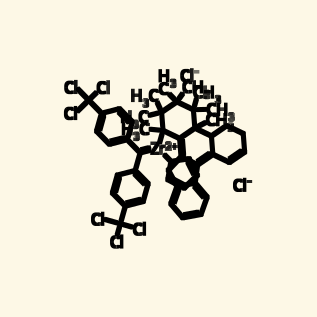 CC12C(=C3Cc4ccccc4C3=C3C=CCCC31)[C](C)([Zr+2](=[C](c1ccc(C(Cl)(Cl)Cl)cc1)c1ccc(C(Cl)(Cl)Cl)cc1)[CH]1C=CC=C1)C(C)(C)C(C)(C)C2(C)C.[Cl-].[Cl-]